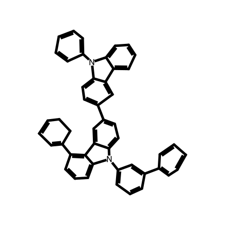 C1=CCCC(c2cccc3c2c2cc(-c4ccc5c(c4)c4ccccc4n5-c4ccccc4)ccc2n3-c2cccc(-c3ccccc3)c2)=C1